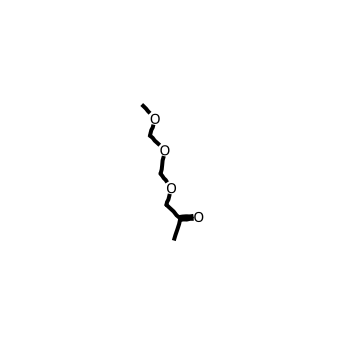 COCOCOCC(C)=O